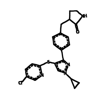 O=C1NCCC1Cc1ccc(-c2nn(C3CC3)cc2Sc2ccc(Cl)cn2)cc1